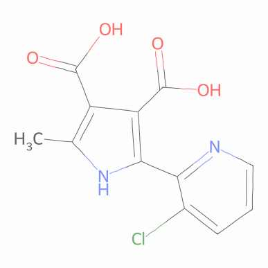 Cc1[nH]c(-c2ncccc2Cl)c(C(=O)O)c1C(=O)O